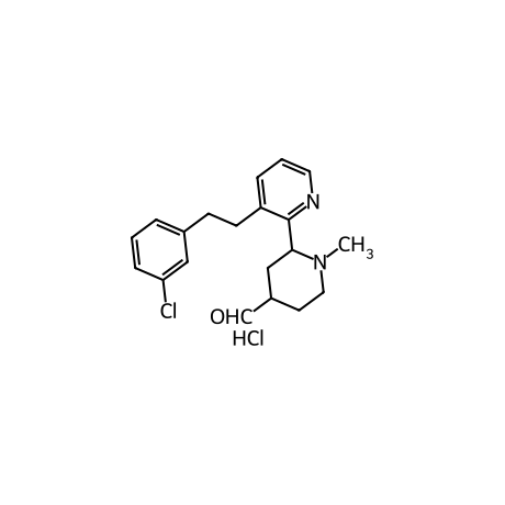 CN1CCC(C=O)CC1c1ncccc1CCc1cccc(Cl)c1.Cl